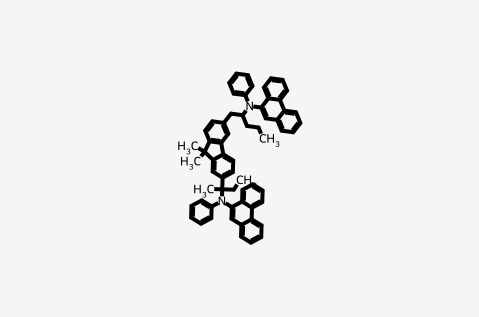 CCCC(Cc1ccc2c(c1)-c1ccc(C(C)(CC)N(c3ccccc3)c3cc4ccccc4c4ccccc34)cc1C2(C)C)N(c1ccccc1)c1cc2ccccc2c2ccccc12